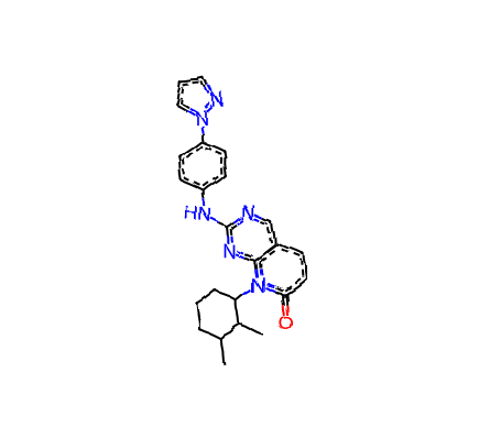 CC1CCCC(n2c(=O)ccc3cnc(Nc4ccc(-n5cccn5)cc4)nc32)C1C